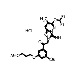 CCC(CC)Oc1nn2c(=N)n(CC(=O)c3cc(OCCCOC)cc(C(C)(C)C)c3)nc2cc1C.Cl